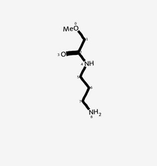 [CH2]OCC(=O)NCCCN